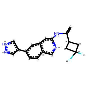 C=C(Nc1cc2cc(-c3cn[nH]c3)ccc2cn1)C1CC(F)(F)C1